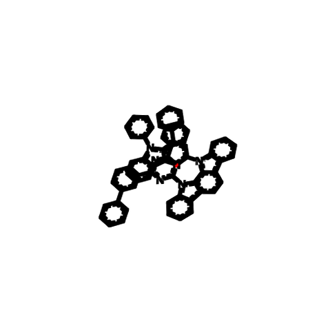 c1ccc(-c2cccc(-c3nc(-c4ccccc4)nc(-n4c5ccccc5c5ccc6c7ccccc7n(-c7cc(-c8ccccc8)c8c(c7)c7ccccc7n8-c7ccccc7)c6c54)n3)c2)cc1